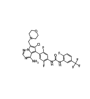 Nc1ncnn2c(CN3CCOCC3)c(Cl)c(-c3cc(F)c(NC(=O)Nc4cc(C(F)(F)F)ccc4F)cc3F)c12